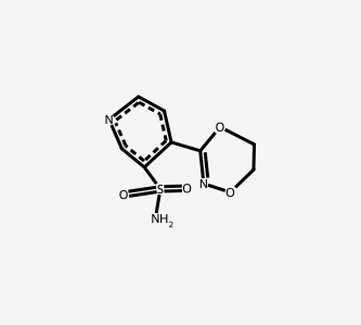 NS(=O)(=O)c1cnccc1C1=NOCCO1